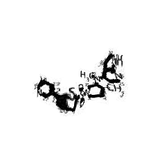 C[C@@H]1CCN(S(=O)(=O)c2ccc(-c3cccnc3)s2)CC1N(C)c1ccnc2[nH]ccc12